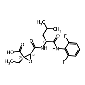 CC[C@]1(C(=O)O)O[C@@H]1C(=O)N[C@@H](CC(C)C)C(=O)Nc1c(F)cccc1F